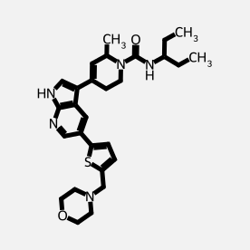 CCC(CC)NC(=O)N1CCC(c2c[nH]c3ncc(-c4ccc(CN5CCOCC5)s4)cc23)=CC1C